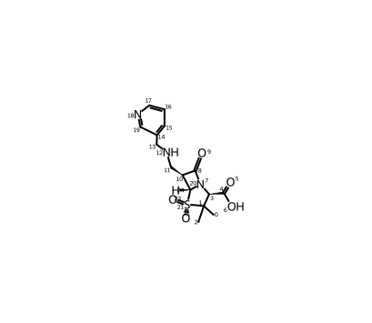 CC1(C)[C@H](C(=O)O)N2C(=O)[C@H](CNCc3cccnc3)[C@H]2S1(=O)=O